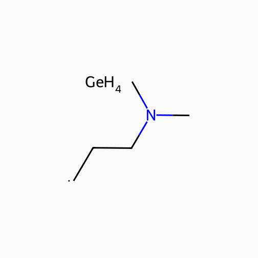 [CH2]CCN(C)C.[GeH4]